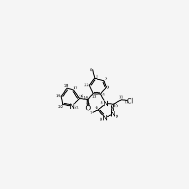 Cc1ccc(-n2c(C)nnc2CCl)c(C(=O)c2ccccn2)c1